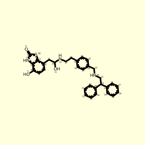 O=c1[nH]c2c(O)ccc(CC(O)NCCc3ccc(CNCC(c4ccccc4)c4ccccc4)cc3)c2s1